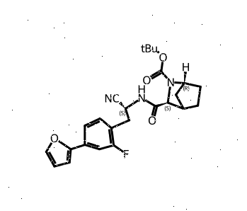 CC(C)(C)OC(=O)N1[C@@H]2CCC(C2)[C@H]1C(=O)N[C@H](C#N)Cc1ccc(-c2ccco2)cc1F